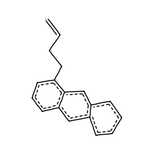 [CH]=CCCc1cccc2cc3ccccc3cc12